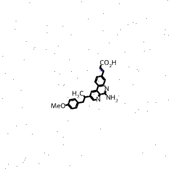 COc1ccc(CC(C)c2cnc3c(N)nc4cc(/C=C/C(=O)O)ccc4c3c2)cc1